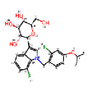 CC(C)Oc1ccc(Cn2cc([C@@H]3O[C@H](CO)[C@@H](O)[C@H](O)[C@H]3O)c3cccc(F)c32)c(F)c1